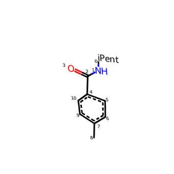 CCCC(C)NC(=O)c1ccc(C)cc1